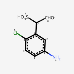 Nc1ccc(Cl)c(C([C]=O)S(=O)(=O)O)c1